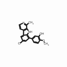 COc1ccc(-c2cc(Cl)cc3c2[nH]c2c(C)nccc23)cc1O